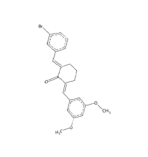 COc1cc(C=C2CCCC(=Cc3cccc(Br)c3)C2=O)cc(OC)c1